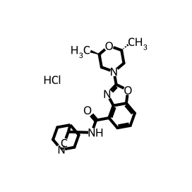 C[C@@H]1CN(c2nc3c(C(=O)NC4CN5CCC4CC5)cccc3o2)C[C@@H](C)O1.Cl